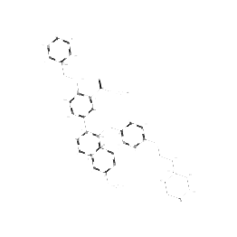 COC(=O)c1cc(-c2ccc3cc(OC)ccc3c2Oc2ccc(OCCN3CCCCC3)cc2)ccc1OCc1ccccc1